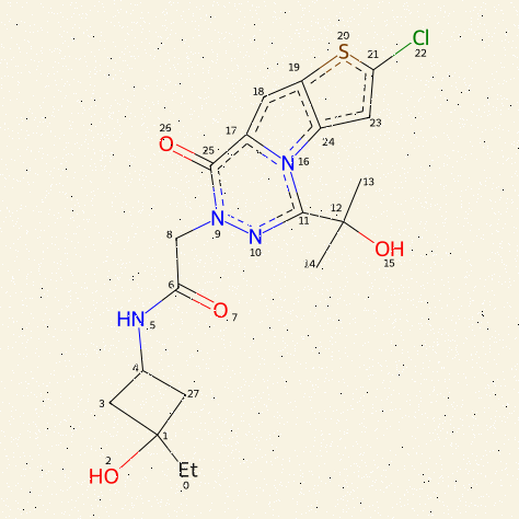 CCC1(O)CC(NC(=O)Cn2nc(C(C)(C)O)n3c(cc4sc(Cl)cc43)c2=O)C1